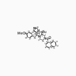 CCCC[C@H]1CN(C(=O)c2cccc3ccccc23)CCN1C(Cc1ccc(OC)cc1)c1cnc[nH]1